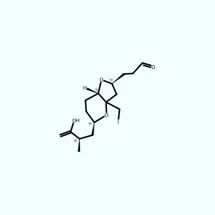 C=C(O)[C@H](C)C[C@H]1CC[C@@H]2O[C@@H](CCC=O)CC2(CI)O1